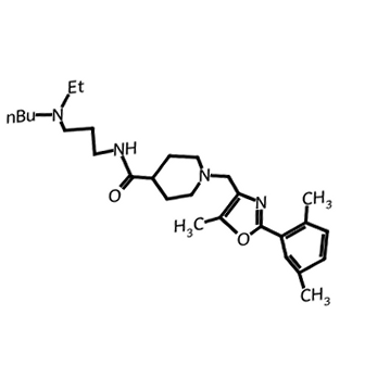 CCCCN(CC)CCCNC(=O)C1CCN(Cc2nc(-c3cc(C)ccc3C)oc2C)CC1